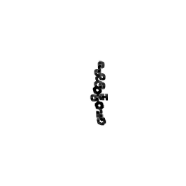 COCCOC(=O)CC1COc2cc(NC(=O)c3ccc(/C=N/N4CCCCC4)cc3)ccc2C1